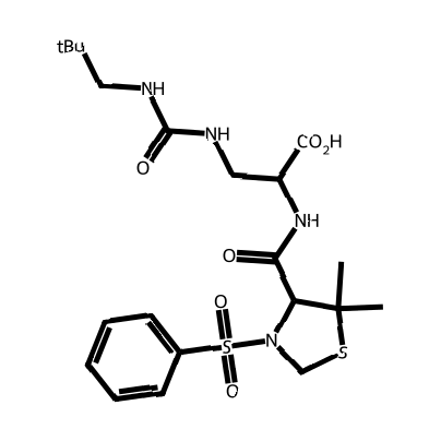 CC(C)(C)CNC(=O)NCC(NC(=O)C1N(S(=O)(=O)c2ccccc2)CSC1(C)C)C(=O)O